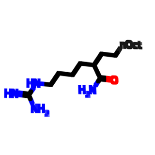 CCCCCCCCCCC(CCCCNC(=N)N)C(N)=O